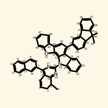 CC1CC=Cc2c(-c3ccc4ccccc4c3)nc(-n3c4ccccc4c4c(-c5ccc6c(c5)-c5ccccc5C6(C)C)cc5c6ccccc6oc5c43)nc21